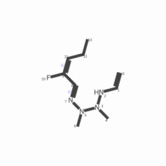 C=CNN(C)N(C)/N=C/C(F)=C\CC